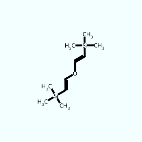 C[Si](C)(C)C=COC=C[Si](C)(C)C